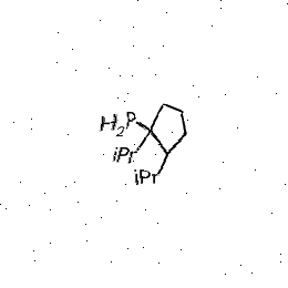 CC(C)C1CCCC1(P)C(C)C